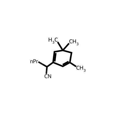 CCCC(C#N)C1=CC(C)(C)CC(C)=C1